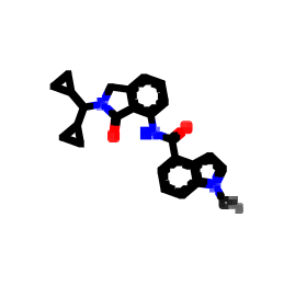 Cn1ccc2c(C(=O)Nc3cccc4c3C(=O)N(C(C3CC3)C3CC3)C4)cccc21